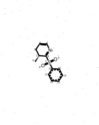 C[C@H]1CC=CN=C1S(=O)(=O)c1ccccc1